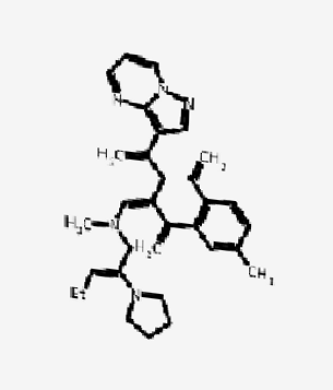 C=Cc1ccc(C)cc1C(=C)/C(=C\N(C)C/C(=C/CC)N1CCCC1)CC(=C)c1cnn2cccnc12